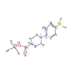 CP(C)c1ccc(N2CCN(C(=O)OC(C)(C)C)CC2)nc1